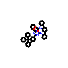 c1ccc(-c2nc(-c3ccc4c(c3)C(c3ccccc3)(c3ccccc3)c3ccccc3-4)nc(-n3c4ccccc4c4ccc5c6ccccc6n(-c6ccccc6)c5c43)n2)cc1